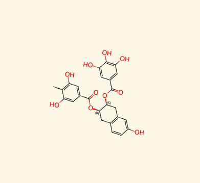 Cc1c(O)cc(C(=O)O[C@@H]2Cc3ccc(O)cc3C[C@@H]2OC(=O)c2cc(O)c(O)c(O)c2)cc1O